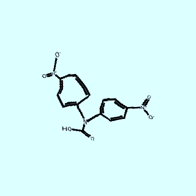 O=C(O)N(c1ccc([N+](=O)[O-])cc1)c1ccc([N+](=O)[O-])cc1